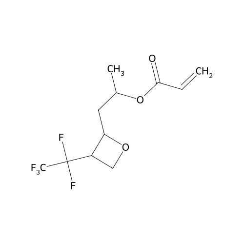 C=CC(=O)OC(C)CC1OCC1C(F)(F)C(F)(F)F